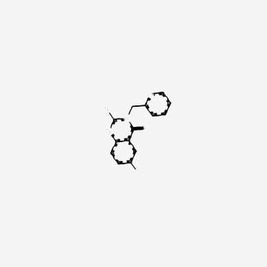 Nc1nc2ccc(Br)cc2c(=O)n1Cc1ccccn1